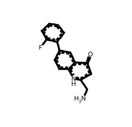 NCc1cc(=O)c2cc(-c3ccccc3F)ccc2[nH]1